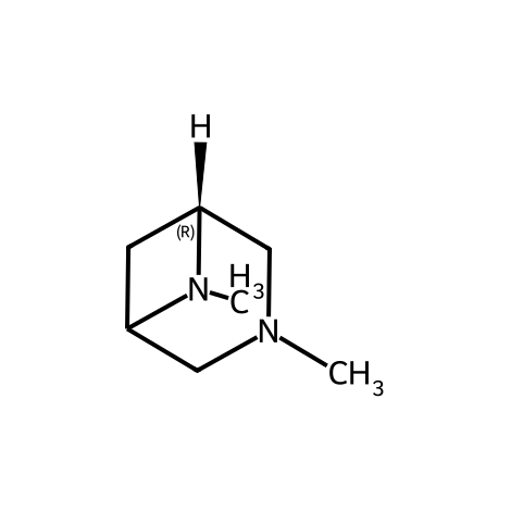 CN1CC2C[C@H](C1)N2C